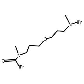 CC(C)C(=O)N(C)CCCOCCCN(C)C(C)C